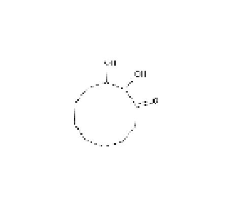 O=C1CCCC[CH]CCC(O)C1O